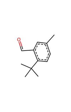 Cc1ccc(C(C)(C)C)c(C=O)c1